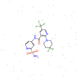 C[C@@H]1CC(F)(F)CCN1c1ncc(C(F)(F)F)cc1C(=O)Nc1ccnc(S(N)(=O)=O)c1